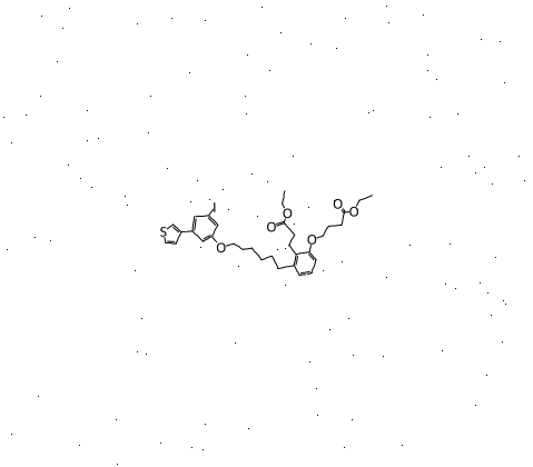 CCOC(=O)CCCOc1cccc(CCCCCCOc2cc(I)cc(-c3ccsc3)c2)c1CCC(=O)OCC